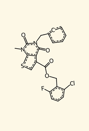 Cn1c(=O)n(Cc2ccccc2)c(=O)c2c(C(=O)OCc3c(F)cccc3Cl)csc21